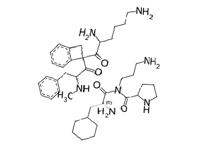 CNC(Cc1ccccc1)C(=O)C1(C(=O)C(N)CCCCN)Cc2ccccc21.NCCCN(C(=O)C1CCCN1)C(=O)[C@H](N)CC1CCCCC1